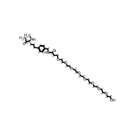 CN[C@@H](CCCc1ccc(CNC(=O)CCOCCOCCOCCOCCOCCOCCOCCOCCO)cc1)C(N)=O